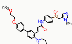 CCCCOCCOc1ccc(-c2ccc(N3CCC(C)CC3)c(C=CC(=O)Nc3ccc([S@@+]([O-])Cc4cncn4CCC)cc3)c2)cc1